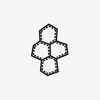 [c]1ccc2ccc3cccc4[c]cc1c2c43